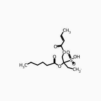 [CH2]CC(COC(=O)C=CC)(OC(=O)CCCCC)S(=O)(=O)O